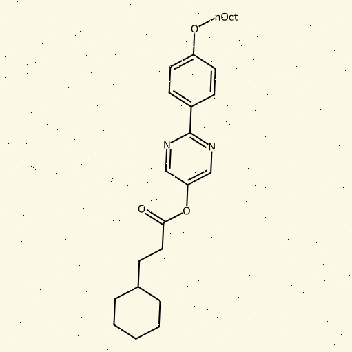 CCCCCCCCOc1ccc(-c2ncc(OC(=O)CCC3CCCCC3)cn2)cc1